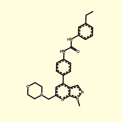 CCc1cccc(NC(=O)Nc2ccc(-c3cc(CN4CCOCC4)nc4c3cnn4C)cc2)c1